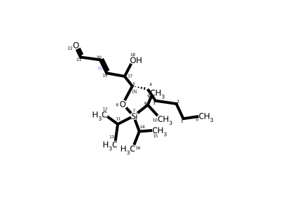 CCCCC[C@H](O[Si](C(C)C)(C(C)C)C(C)C)C(O)/C=C/C=O